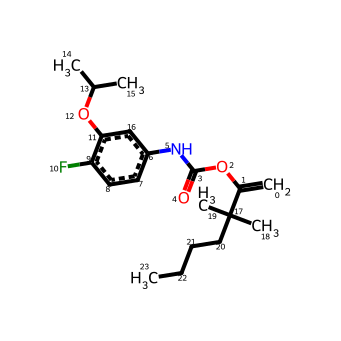 C=C(OC(=O)Nc1ccc(F)c(OC(C)C)c1)C(C)(C)CCCC